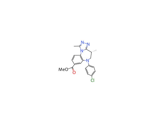 COC(=O)c1ccc2c(c1)N(c1ccc(Cl)cc1)C[C@@H](C)c1nnc(C)n1-2